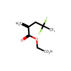 C=C(CC(F)(F)C(F)(F)F)C(=O)OCC(=O)O